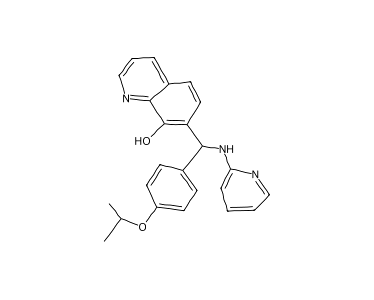 CC(C)Oc1ccc(C(Nc2ccccn2)c2ccc3cccnc3c2O)cc1